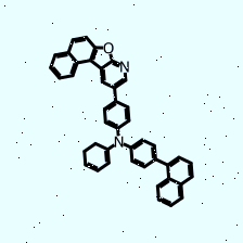 C1=CCCC(N(c2ccc(-c3cnc4oc5ccc6ccccc6c5c4c3)cc2)c2ccc(-c3cccc4ccccc34)cc2)=C1